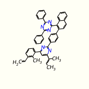 C=Cc1cccc(-c2cc(/C(C)=C/C)nc(-c3ccc(-c4ccc5ccccc5c4-c4nc(-c5ccccc5)nc(-c5ccccc5)n4)cc3)n2)c1C